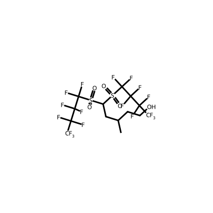 CC(CCO)CC(S(=O)(=O)C(F)(F)C(F)(F)C(F)(F)C(F)(F)F)S(=O)(=O)C(F)(F)C(F)(F)C(F)(F)C(F)(F)F